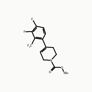 CC(C)(C)OC(=O)N1CC=C(c2ccc(F)c(F)c2C(F)(F)F)CC1